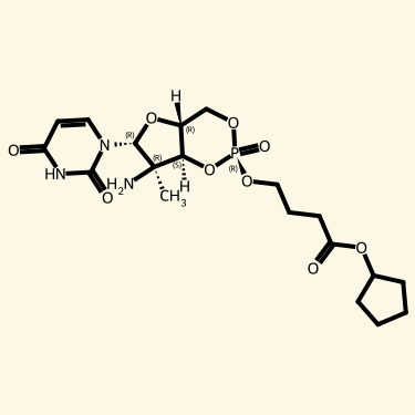 C[C@@]1(N)[C@@H]2O[P@](=O)(OCCCC(=O)OC3CCCC3)OC[C@H]2O[C@H]1n1ccc(=O)[nH]c1=O